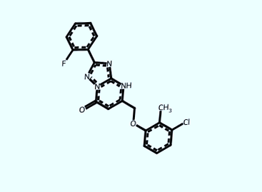 Cc1c(Cl)cccc1OCc1cc(=O)n2nc(-c3ccccc3F)nc2[nH]1